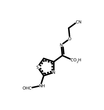 N#CCON=C(C(=O)O)c1csc(NC=O)n1